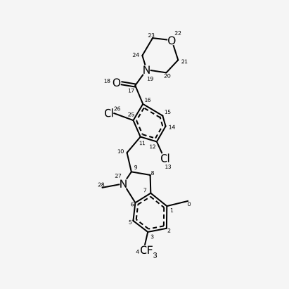 Cc1cc(C(F)(F)F)cc2c1CC(Cc1c(Cl)ccc(C(=O)N3CCOCC3)c1Cl)N2C